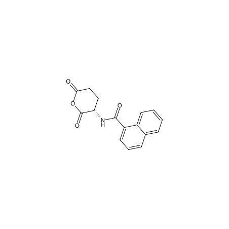 O=C1CC[C@H](NC(=O)c2cccc3ccccc23)C(=O)O1